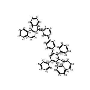 C1=C(c2ccc(-c3cccc(-n4c5ccccc5c5c6ccccc6ccc54)c3)cc2)C(c2ccccc2)C2C(=C1c1ccccc1)c1cccc3cccc2c13